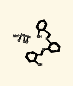 CC(=O)[O-].CC(=O)[O-].CC(=O)[O-].Oc1ccccc1C=Nc1ccccc1N=Cc1ccccc1O.[Mn+3]